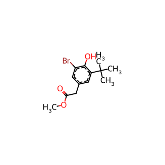 COC(=O)Cc1cc(Br)c(O)c(C(C)(C)C)c1